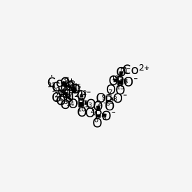 O=P([O-])([O-])[O-].O=P([O-])([O-])[O-].O=P([O-])([O-])[O-].O=P([O-])([O-])[O-].[Co+2].[Co+2].[Co+2].[O]=[U+2]=[O].[O]=[U+2]=[O].[O]=[U+2]=[O]